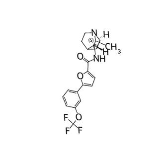 C[C@H]1[C@H](NC(=O)c2ccc(-c3cccc(OC(F)(F)F)c3)o2)C2CCN1CC2